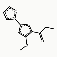 CCC(=O)c1sc(-c2cccs2)nc1OC